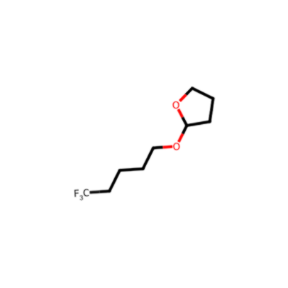 FC(F)(F)CCCCOC1CCCO1